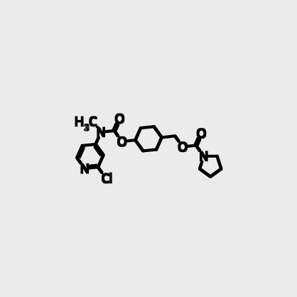 CN(C(=O)OC1CCC(COC(=O)N2CCCC2)CC1)c1ccnc(Cl)c1